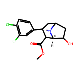 COC(=O)C1C(c2ccc(Cl)c(Cl)c2)CC2CC(O)[C@@H]1N2C